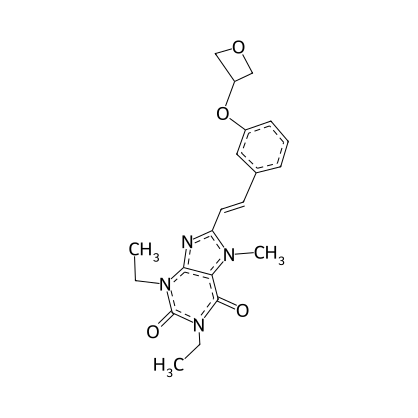 CCn1c(=O)c2c(nc(/C=C/c3cccc(OC4COC4)c3)n2C)n(CC)c1=O